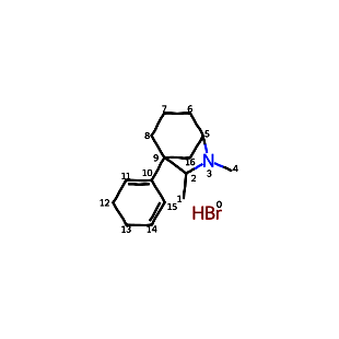 Br.CC1N(C)C2CCCC1(C1=CCCC=C1)C2